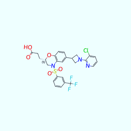 O=C(O)CC[C@H]1CN(S(=O)(=O)c2cccc(C(F)(F)F)c2)c2cc(C3CN(c4ncccc4Cl)C3)ccc2O1